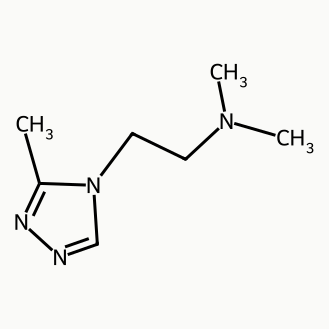 Cc1nncn1CCN(C)C